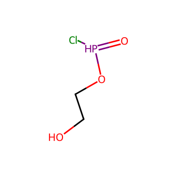 O=[PH](Cl)OCCO